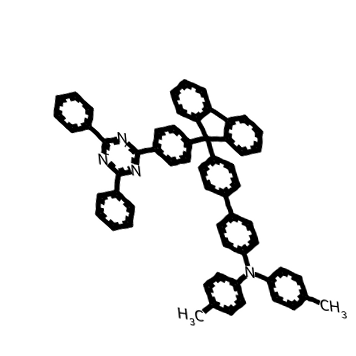 Cc1ccc(N(c2ccc(C)cc2)c2ccc(-c3ccc(C4(c5ccc(-c6nc(-c7ccccc7)nc(-c7ccccc7)n6)cc5)c5ccccc5-c5ccccc54)cc3)cc2)cc1